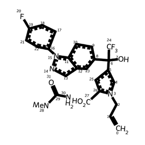 C=CCn1cc(C(O)(c2ccc3c(cnn3-c3ccc(F)cc3)c2)C(F)(F)F)cc1C(=O)O.CNC(N)=O